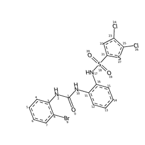 O=C(Nc1ccccc1Br)Nc1ccccc1NS(=O)(=O)c1cc(Cl)c(Cl)s1